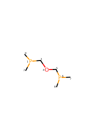 CP(C)COCP(C)C